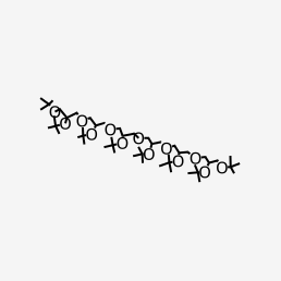 CC(C)(C)OCC(COCC(COCC(COCC(COCC(COCC(COC(C)(C)C)OC(C)(C)C)OC(C)(C)C)OC(C)(C)C)OC(C)(C)C)OC(C)(C)C)OC(C)(C)C